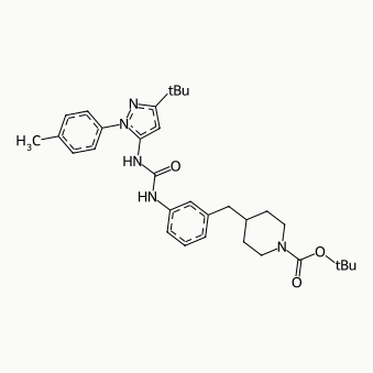 Cc1ccc(-n2nc(C(C)(C)C)cc2NC(=O)Nc2cccc(CC3CCN(C(=O)OC(C)(C)C)CC3)c2)cc1